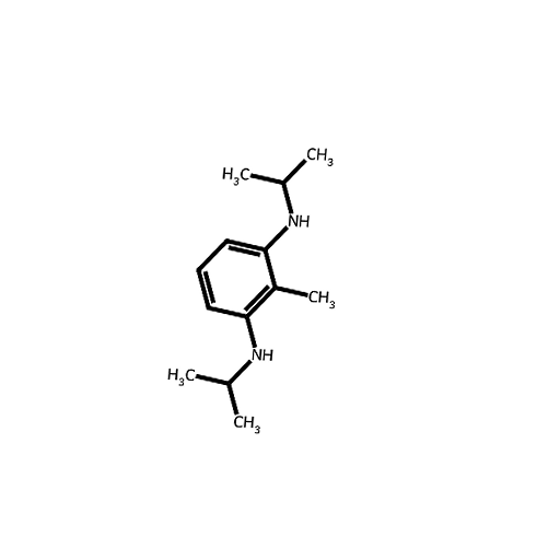 Cc1c(NC(C)C)cccc1NC(C)C